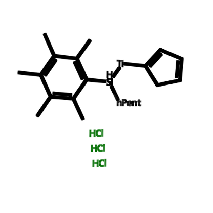 CCCCC[SiH]([Ti][C]1=CC=CC1)c1c(C)c(C)c(C)c(C)c1C.Cl.Cl.Cl